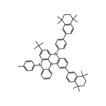 Cc1ccc(N2c3ccccc3B3c4cc(-c5ccc6c(c5)C(C)(C)CCC6(C)C)ccc4N(c4ccc(-c5ccc6c(c5)C(C)(C)CCC6(C)C)cc4)c4cc(C(C)(C)C)cc2c43)cc1